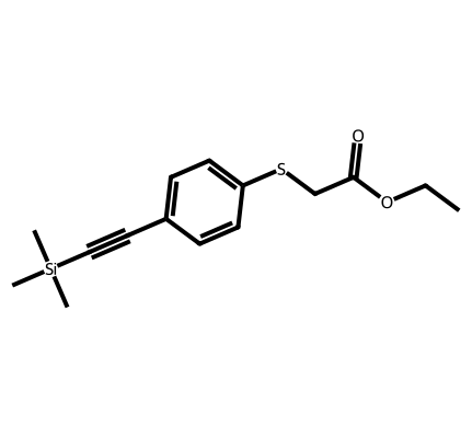 CCOC(=O)CSc1ccc(C#C[Si](C)(C)C)cc1